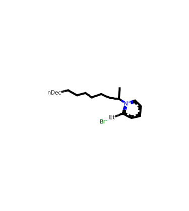 CCCCCCCCCCCCCCCCC(C)[n+]1ccccc1CC.[Br-]